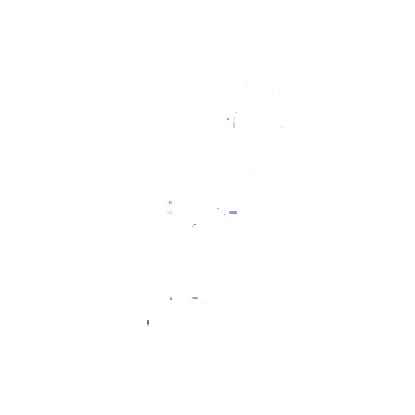 Cc1ccc(C(=O)NCCc2ccccn2)s1